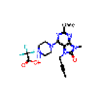 CC#CCn1c(=O)n(C)c2nc(OC)nc(N3CCNCC3)c21.O=C(O)C(F)(F)F